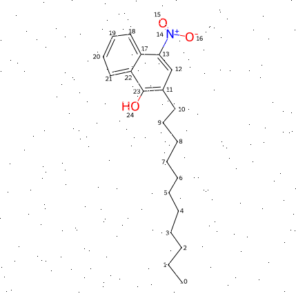 CCCCCCCCCCCc1cc([N+](=O)[O-])c2ccccc2c1O